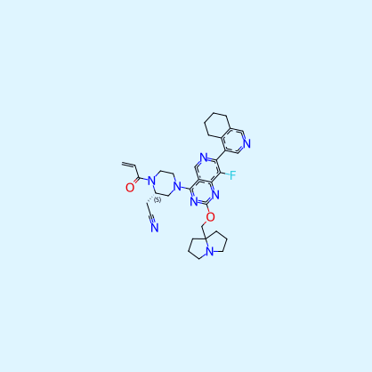 C=CC(=O)N1CCN(c2nc(OCC34CCCN3CCC4)nc3c(F)c(-c4cncc5c4CCCC5)ncc23)C[C@@H]1CC#N